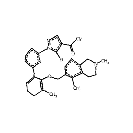 CCc1c(C(=O)C#N)cnn1-c1cccc(C2=CCCC(C)=C2OCc2ccc3c(c2C)CCN(C)C3)n1